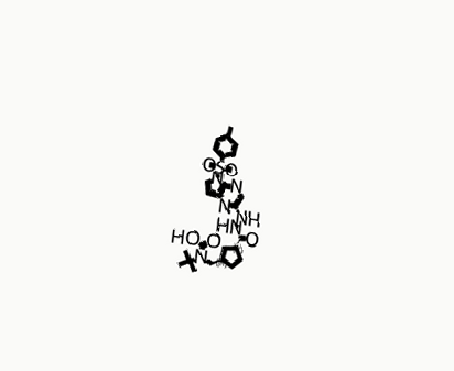 Cc1ccc(S(=O)(=O)n2ccc3nc(NNC(=O)[C@@H]4CC[C@@H](CN(C(=O)O)C(C)(C)C)C4)cnc32)cc1